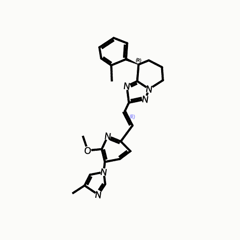 COc1nc(/C=C/c2nc3n(n2)CCC[C@@H]3c2ccccc2C)ccc1-n1cnc(C)c1